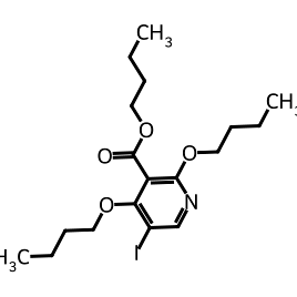 CCCCOC(=O)c1c(OCCCC)ncc(I)c1OCCCC